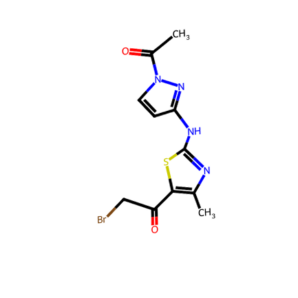 CC(=O)n1ccc(Nc2nc(C)c(C(=O)CBr)s2)n1